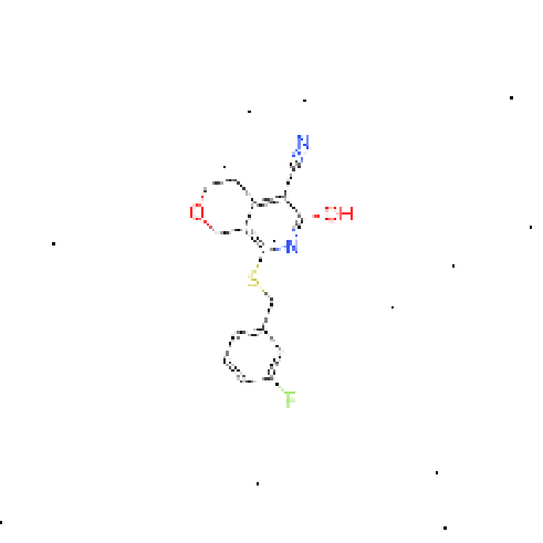 N#Cc1c(O)nc(SCc2cccc(F)c2)c2c1CCOC2